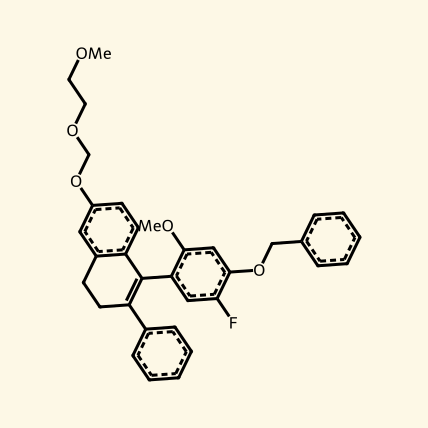 COCCOCOc1ccc2c(c1)CCC(c1ccccc1)=C2c1cc(F)c(OCc2ccccc2)cc1OC